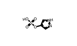 O=S(=O)(O)Oc1cn[nH]c1